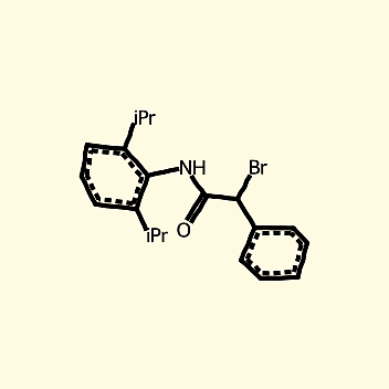 CC(C)c1cccc(C(C)C)c1NC(=O)C(Br)c1ccccc1